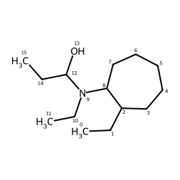 CCC1CCCCCC1N(CC)C(O)CC